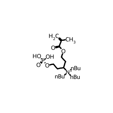 C=C(C)C(=O)OCCC(CCOP(=O)(O)O)[N+](CCCC)(CCCC)CCCC